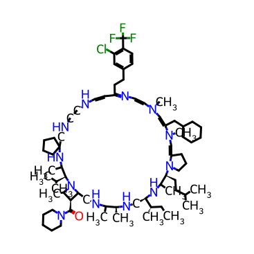 CC[C@H](C)[C@H]1CN[C@@H](C)C(C)NCC2[C@@H](C(=O)N3CCCCC3)C(C)N2[C@@H](C(C)C)C(C)NC2(CCCC2)CNCCNC=CC(CCc2ccc(C(F)(F)F)c(Cl)c2)=NC=CN(C)C=C(CC2CCCCC2)N(C)C=C2CCCN2[C@@H](CCC(C)C)C(C)N1